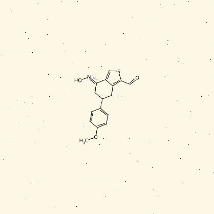 COc1ccc(C2C/C(=N\O)c3csc(C=O)c3C2)cc1